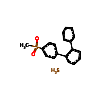 CS(=O)(=O)c1ccc(-c2ccccc2-c2ccccc2)cc1.S